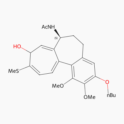 CCCCOc1cc2c(c(OC)c1OC)C1=CC=C(SC)C(O)C=C1[C@@H](NC(C)=O)CC2